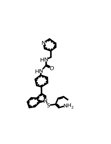 C/C=C\C(=C/N)Sn1cc(-c2ccc(NC(=O)NCc3cccnc3)cc2)c2ccccc21